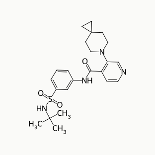 CC(C)(C)NS(=O)(=O)c1cccc(NC(=O)c2ccncc2N2CCC3(CC2)CC3)c1